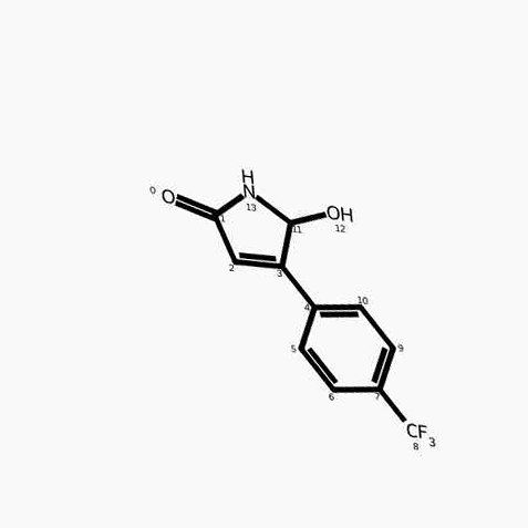 O=C1C=C(c2ccc(C(F)(F)F)cc2)C(O)N1